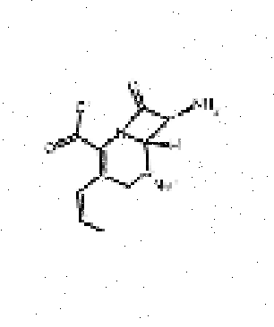 C/C=C\C1=C(C(=O)[O-])N2C(=O)[C@@H](N)[C@@H]2SC1.[Na+]